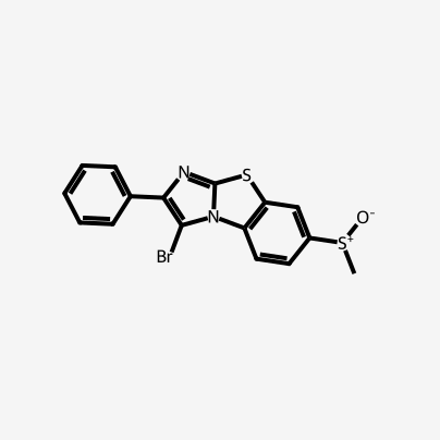 C[S+]([O-])c1ccc2c(c1)sc1nc(-c3ccccc3)c(Br)n12